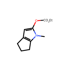 CCOC(=O)Oc1cc2c(n1C)CCC2